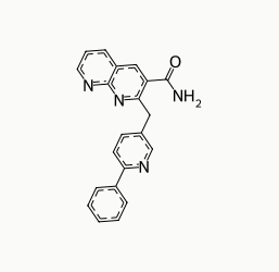 NC(=O)c1cc2cccnc2nc1Cc1ccc(-c2ccccc2)nc1